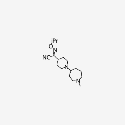 CC(C)O/N=C(\C#N)C1CCN(C2CCCN(C)CC2)CC1